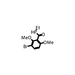 CCPC(=O)c1c(OC)ccc(Br)c1OC